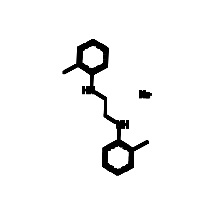 Cc1ccccc1NCCNc1ccccc1C.[Na]